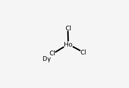 [Cl][Ho]([Cl])[Cl].[Dy]